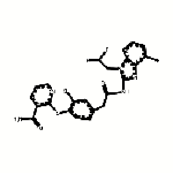 NC(=O)c1cccnc1Oc1ccc(CC(=O)Nc2nc3c(F)cccc3n2CC(F)F)cc1Cl